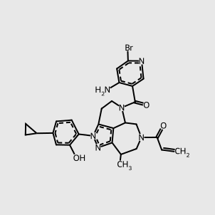 C=CC(=O)N1CC(C)c2nn(-c3ccc(C4CC4)cc3O)c3c2C(C1)N(C(=O)c1cnc(Br)cc1N)CC3